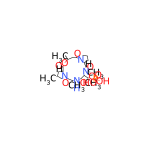 C[C@@H]1C[C@H]2C(=O)O[C@@H](C)CC(=O)N3CCC[C@H]3C(=O)N(C)[C@@H]([C@@H](C)OP(=O)(O)O)C(=O)N[C@@H](C)C(=O)N2C1